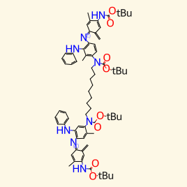 C=C1C=C(NC(=O)OC(C)(C)C)C(C)=C/C1=N/c1cc(C)c(N(CCCCCCCCCN(C(=O)OC(C)(C)C)c2ccc(/N=C3/C=C(C)C(NC(=O)OC(C)(C)C)=CC3=C)c(Nc3ccccc3)c2C)C(=O)OC(C)(C)C)cc1Nc1ccccc1